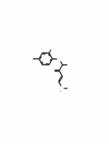 CC(Oc1ccc(Cl)cc1Cl)C(=O)C=CN(C)C